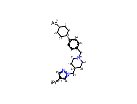 CC(=O)[C@H]1CC[C@@H](c2ccc(CN3CCC(Cn4cc(C(C)C)cn4)CC3)cc2)CC1